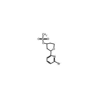 CS(=O)(=O)OC1CCOC(c2cccc(Br)n2)C1